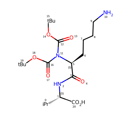 CC(C)[C@H](NC(=O)[C@H](CCCCN)N(C(=O)OC(C)(C)C)C(=O)OC(C)(C)C)C(=O)O